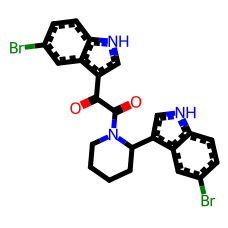 O=C(C(=O)N1CCCCC1c1c[nH]c2ccc(Br)cc12)c1c[nH]c2ccc(Br)cc12